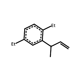 C=C[C](C)c1cc(CC)ccc1CC